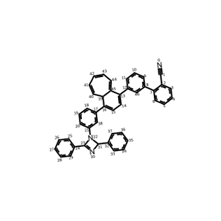 N#Cc1ccccc1-c1cccc(C2=CC=C(c3cccc(N4C(c5ccccc5)=NC4c4ccccc4)c3)C3C=CC=CC=C23)c1